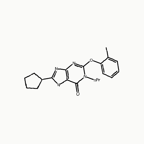 CCCn1c(Oc2ccccc2C)nc2c(c1=O)[N]C(C1CCCC1)=N2